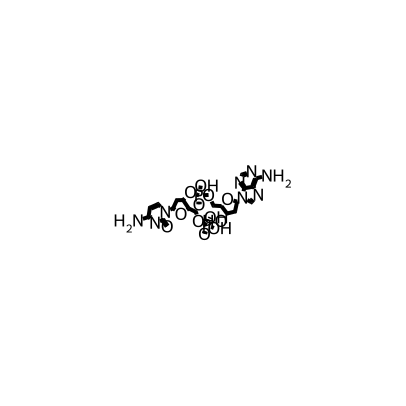 Nc1ccn(C2CC(OP(=O)(O)OCC3OC(n4cnc5c(N)ncnc54)CC3O)C(COP(=O)(O)O)O2)c(=O)n1